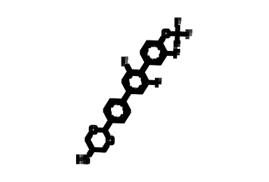 Fc1cc(-c2c(F)cc(-c3ccc(C4OCC(S)CO4)cc3)cc2F)ccc1OC(F)(F)F